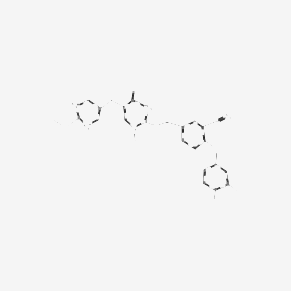 COc1ncc(Cc2cn(C)c(SCc3ccc(Oc4ccc(Cl)c(C)c4)c(C#N)c3)nc2=O)cn1